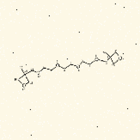 CC1(COCCOCCOCCOCC2(C)COC2)COC1